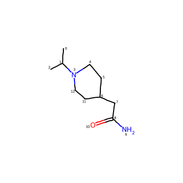 CC(C)N1CCC(CC(N)=O)CC1